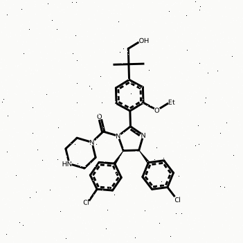 CCOc1cc(C(C)(C)CO)ccc1C1=N[C@@H](c2ccc(Cl)cc2)[C@@H](c2ccc(Cl)cc2)N1C(=O)N1CCNCC1